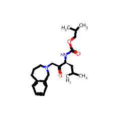 CC(C)COC(=O)N[C@@H](CC(C)C)C(=O)CN1CCCc2ccccc2C1